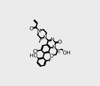 C=CC(=O)N1CCN(c2nc(=O)n3c4c(c(-c5c(O)cccc5F)c(Cl)cc24)OC[C@@H]3CO)[C@@H](C)C1